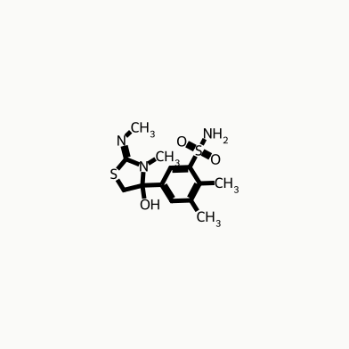 CN=C1SCC(O)(c2cc(C)c(C)c(S(N)(=O)=O)c2)N1C